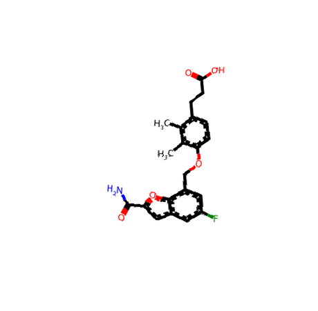 Cc1c(CCC(=O)O)ccc(OCc2cc(F)cc3cc(C(N)=O)oc23)c1C